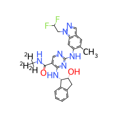 [2H]C([2H])([2H])NC(=O)c1cnc(Nc2cc3c(cnn3CC(F)F)cc2C)nc1N[C@H]1c2ccccc2C[C@H]1O